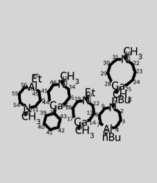 CCCCN1CC[CH2][Al]([CH2]CCC)[CH2]CC1.CCN1CC[CH2][Ga]([CH3])[CH2]CC1.CN1CCC[CH2][Ga]([CH3])[CH2]CCC1.CN1CC[CH2][Ga]([CH]2CCCCC2)[CH2]CC1.C[CH2][Al]1[CH2]CCN(C)CC[CH2]1